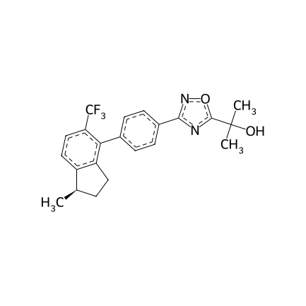 C[C@@H]1CCc2c1ccc(C(F)(F)F)c2-c1ccc(-c2noc(C(C)(C)O)n2)cc1